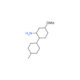 COC1CCC(C2CCC(C)CC2)C(N)C1